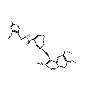 Cc1nc2cnc(N)c(C#Cc3cncc(C(=O)NCc4ccc(F)cc4F)c3)c2nc1C